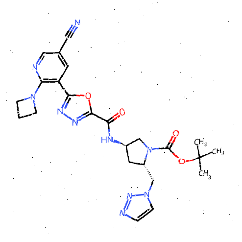 CC(C)(C)OC(=O)N1C[C@H](NC(=O)c2nnc(-c3cc(C#N)cnc3N3CCC3)o2)C[C@H]1Cn1ccnn1